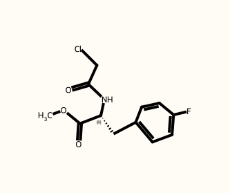 COC(=O)[C@@H](Cc1ccc(F)cc1)NC(=O)CCl